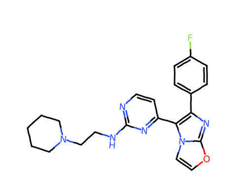 Fc1ccc(-c2nc3occn3c2-c2ccnc(NCCN3CCCCC3)n2)cc1